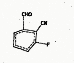 N#Cc1c(F)cccc1C=O